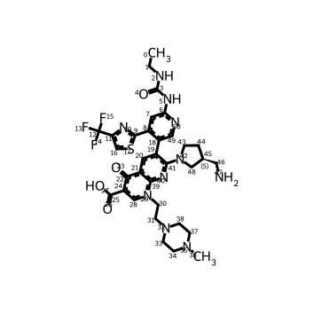 CCNC(=O)Nc1cc(-c2nc(C(F)(F)F)cs2)c(-c2cc3c(=O)c(C(=O)O)cn(CCN4CCN(C)CC4)c3nc2N2CC[C@@H](CN)C2)cn1